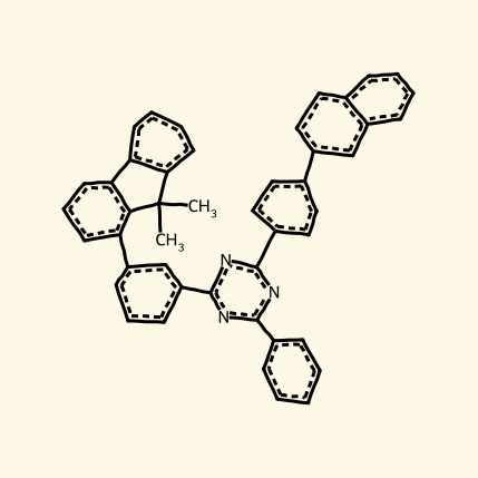 CC1(C)c2ccccc2-c2cccc(-c3cccc(-c4nc(-c5ccccc5)nc(-c5ccc(-c6ccc7ccccc7c6)cc5)n4)c3)c21